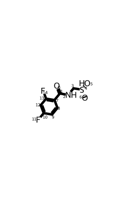 O=C(NC[SH](=O)=O)c1ccc(F)cc1F